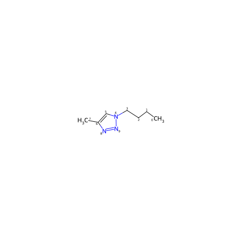 CCCCn1cc(C)nn1